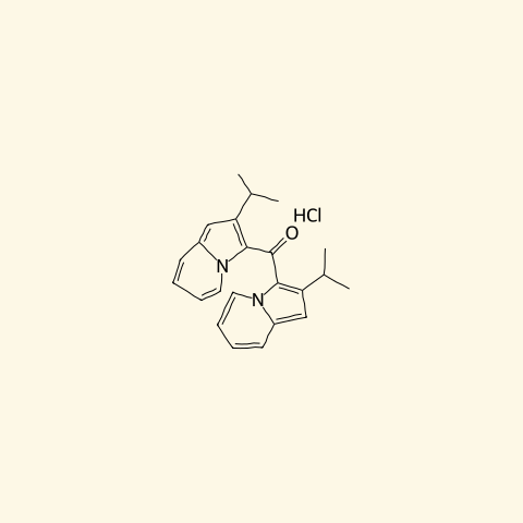 CC(C)c1cc2ccccn2c1C(=O)c1c(C(C)C)cc2ccccn12.Cl